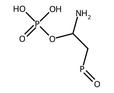 NC(CP=O)OP(=O)(O)O